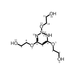 OCCOC1=CC(OCCO)=NN(OCCO)N1